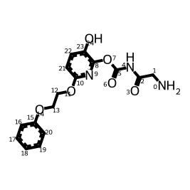 NCC(=O)NC(=O)Oc1nc(OCCOc2ccccc2)ccc1O